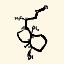 CCOC[C@@H](C)[C@H]1CC[C@H]2[C@@H](O)CCC[C@]12C